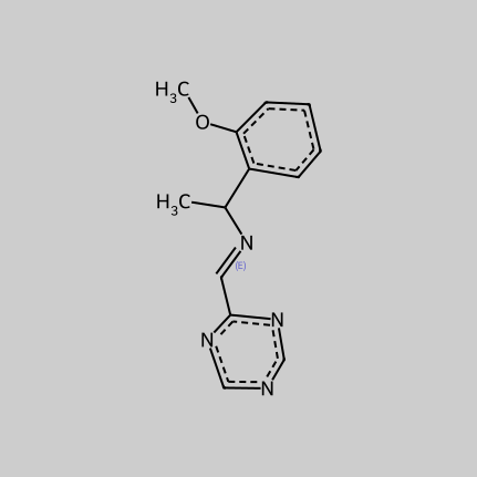 COc1ccccc1C(C)/N=C/c1ncncn1